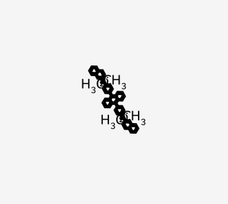 C[Si](C)(c1ccc(-c2c3ccccc3c(-c3ccc([Si](C)(C)c4ccc5ccccc5c4)cc3)c3ccccc23)cc1)c1ccc2ccccc2c1